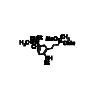 CCNc1ccc(N(CC)[Si](C)(C)C)cc1CCC[Si](C)(OC)OC